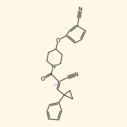 N#C/C(=C\C1(c2ccccc2)CC1)C(=O)N1CCC(Oc2cccc(C#N)c2)CC1